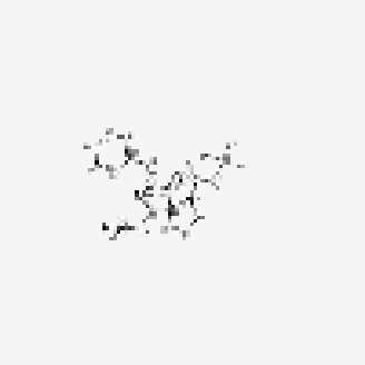 CC(C)(C)OC(=O)N1CCC[C@@]1(C(=O)CN)C(=O)OCc1ccccc1